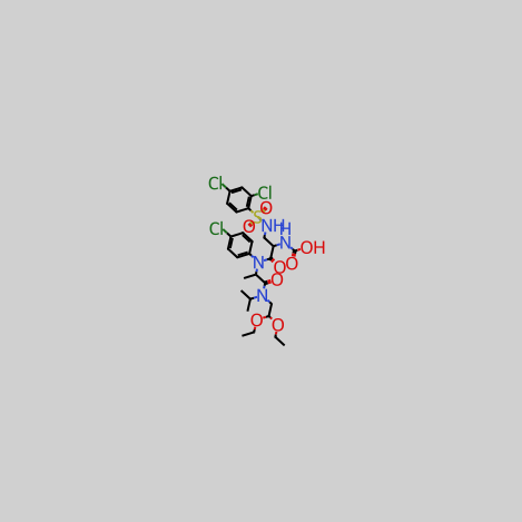 CCOC(CN(C(=O)C(C)N(C(=O)C(CNS(=O)(=O)c1ccc(Cl)cc1Cl)NC(=O)O)c1ccc(Cl)cc1)C(C)C)OCC